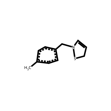 Cc1ccc(CN2C=CCS2)cc1